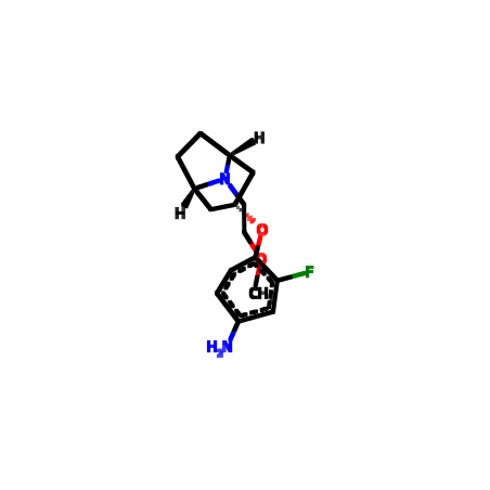 COCCN1[C@@H]2CC[C@H]1C[C@@H](Oc1ccc(N)cc1F)C2